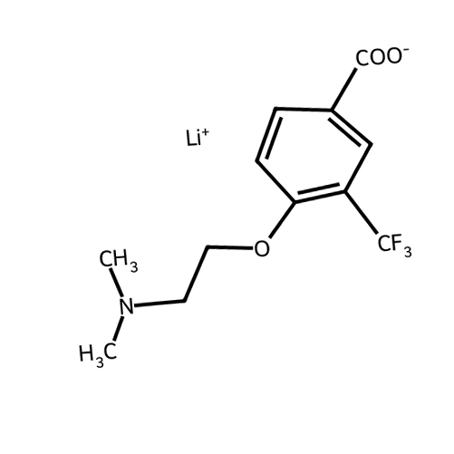 CN(C)CCOc1ccc(C(=O)[O-])cc1C(F)(F)F.[Li+]